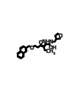 CCc1c(C(O)NCC2CCOC2)noc1CCOCc1ccc2ccccc2c1